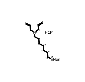 C=CCN(CC=C)CCCCCCCCCCCCCCCC.Cl